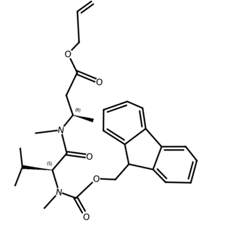 C=CCOC(=O)C[C@@H](C)N(C)C(=O)[C@H](C(C)C)N(C)C(=O)OCC1c2ccccc2-c2ccccc21